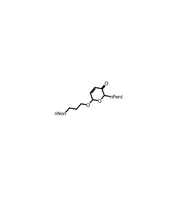 CCCCCCCCCCCCOC1C=CC(=O)C(CCCCC)O1